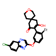 CCc1ccc(Oc2cnc3cc(Cl)ccc3n2)cc1C1=C(O)CC2(CCOCC2)CC1=O